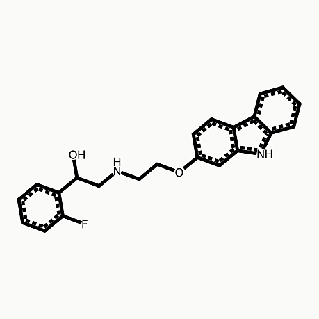 OC(CNCCOc1ccc2c(c1)[nH]c1ccccc12)c1ccccc1F